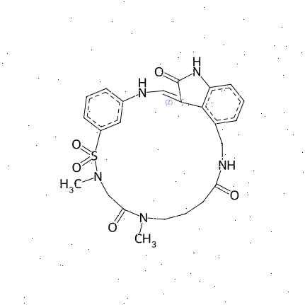 CN1CCCC(=O)NCc2cccc3c2/C(=C/Nc2cccc(c2)S(=O)(=O)N(C)CC1=O)C(=O)N3